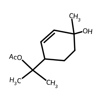 CC(=O)OC(C)(C)C1C=CC(C)(O)CC1